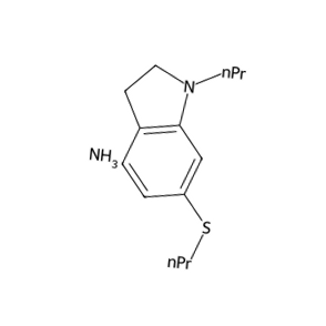 CCCSc1ccc2c(c1)N(CCC)CC2.N